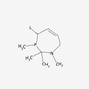 CN1CC=CC(I)P(C)C1(C)C